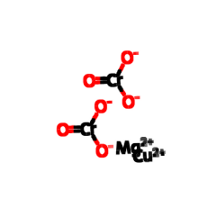 [Cu+2].[Mg+2].[O]=[Cr]([O-])[O-].[O]=[Cr]([O-])[O-]